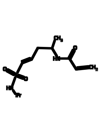 C=CC(=O)NC(C)C/C=C/S(=O)(=O)NC(C)C